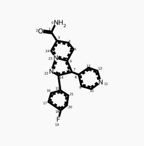 NC(=O)c1ccc2c(-c3ccncc3)c(-c3ccc(F)cc3)nn2c1